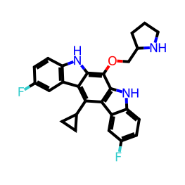 Fc1ccc2[nH]c3c(OCC4CCCN4)c4[nH]c5ccc(F)cc5c4c(C4CC4)c3c2c1